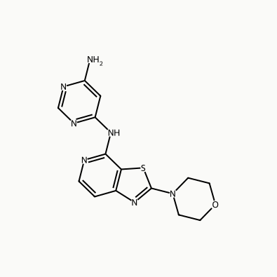 Nc1cc(Nc2nccc3nc(N4CCOCC4)sc23)ncn1